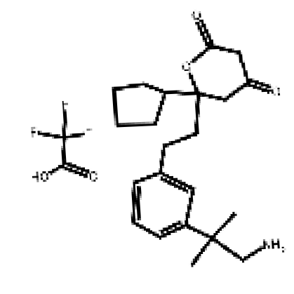 CC(C)(CN)c1cccc(CCC2(C3CCCC3)CC(=O)CC(=O)O2)c1.O=C(O)C(F)(F)F